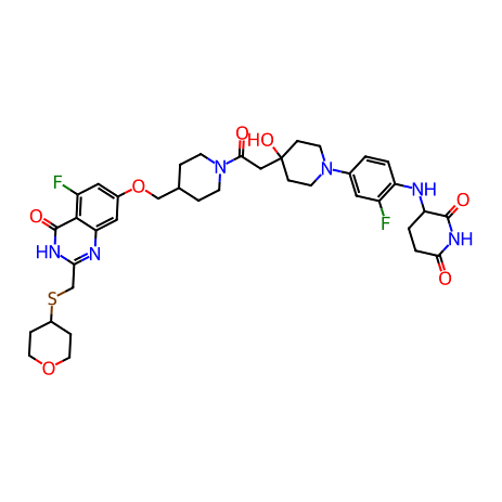 O=C1CCC(Nc2ccc(N3CCC(O)(CC(=O)N4CCC(COc5cc(F)c6c(=O)[nH]c(CSC7CCOCC7)nc6c5)CC4)CC3)cc2F)C(=O)N1